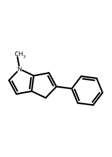 Cn1ccc2c1C=C(c1ccccc1)C2